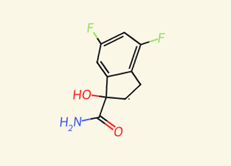 NC(=O)C1(O)[CH]Cc2c(F)cc(F)cc21